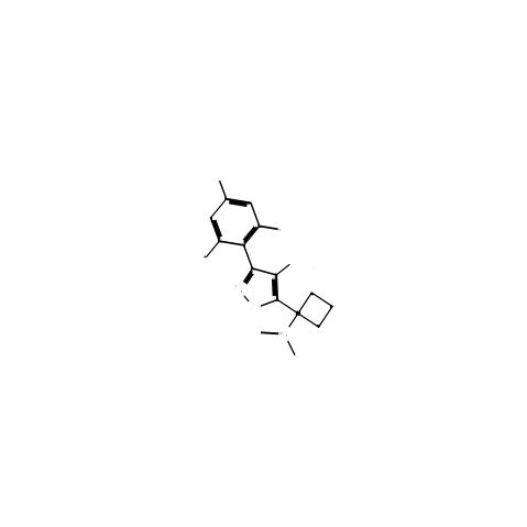 CN(C)C1(c2onc(-c3c(Cl)cc(Cl)cc3Cl)c2C(=O)O)CCC1